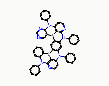 c1ccc(N2c3cc4c(cc3B3c5ccccc5N(c5ccccc5)c5nccc2c53)B2c3cncnc3N(c3ccccc3)c3ccnc(c32)N4c2ccccc2)cc1